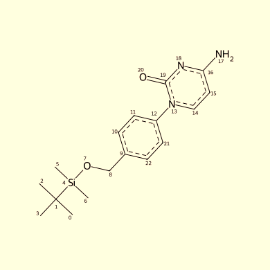 CC(C)(C)[Si](C)(C)OCc1ccc(-n2ccc(N)nc2=O)cc1